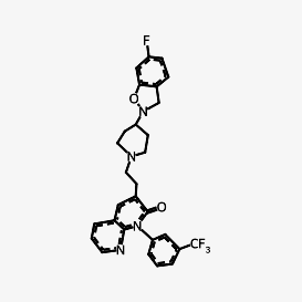 O=c1c(CCN2CCC(N3Cc4ccc(F)cc4O3)CC2)cc2cccnc2n1-c1cccc(C(F)(F)F)c1